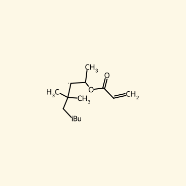 [CH2]CC(C)CC(C)(C)[CH]C(C)OC(=O)C=C